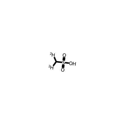 [2H]C([2H])S(=O)(=O)O